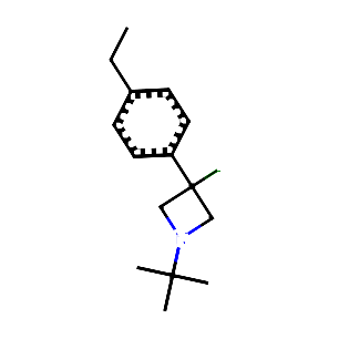 CCc1ccc(C2(F)CN(C(C)(C)C)C2)cc1